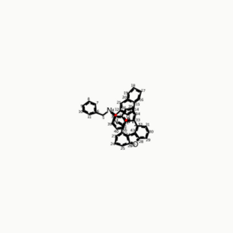 N/C(=N\C(=N/Cc1ccccc1)c1ccc2ccccc2c1)c1cccc2oc3cccc(-c4cccc5ccccc45)c3c12